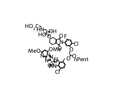 CCCCCOC(=O)COc1cc(N2C(=O)C3=C(CCCC3)C2=O)c(F)cc1Cl.COc1cc(OC)n2nc(S(=O)(=O)Nc3c(Cl)ccc(C)c3Cl)nc2n1.O=C(O)CNCP(=O)(O)O